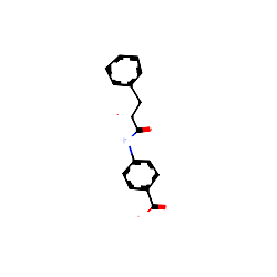 O=C(O)c1ccc(NC(=O)[C@H](O)Cc2ccccc2)cc1